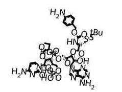 CC(C)(C)SSC[C@@H](NC(=O)OCc1ccc(N)cc1)C(=O)O[C@H]1[C@@H](O)[C@H](n2cnc3c(N)ncnc32)O[C@@H]1COP(=O)(O)[C@@H]1C(COP(=O)(O)O)O[C@@H](n2ccc(N)nc2=O)[C@@H]1OC1CCCO1